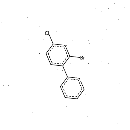 Clc1[c]c(Br)c(-c2ccccc2)cc1